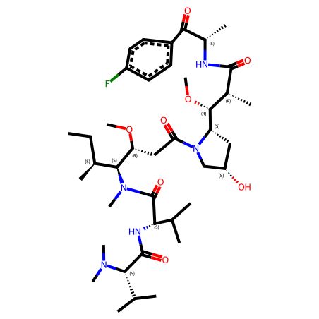 CC[C@H](C)[C@@H]([C@@H](CC(=O)N1C[C@@H](O)C[C@H]1[C@H](OC)[C@@H](C)C(=O)N[C@@H](C)C(=O)c1ccc(F)cc1)OC)N(C)C(=O)[C@@H](NC(=O)[C@H](C(C)C)N(C)C)C(C)C